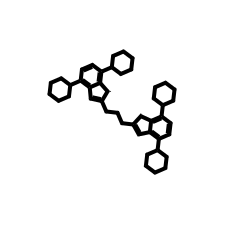 [CH]1C(CCCC2=Cc3c(C4CCCCC4)ccc(C4CCCCC4)c3[CH]2)=Cc2c(C3CCCCC3)ccc(C3CCCCC3)c21